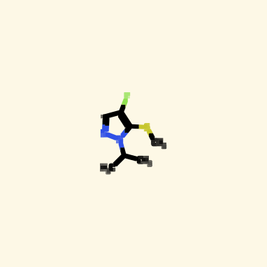 CSc1c(F)[c]nn1C(C)C